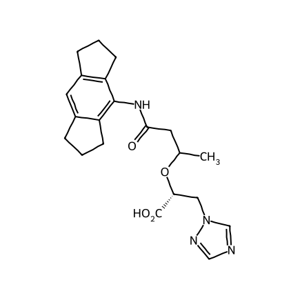 CC(CC(=O)Nc1c2c(cc3c1CCC3)CCC2)O[C@H](Cn1cncn1)C(=O)O